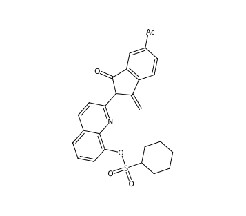 C=C1c2ccc(C(C)=O)cc2C(=O)C1c1ccc2cccc(OS(=O)(=O)C3CCCCC3)c2n1